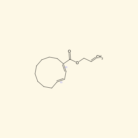 C=CCOC(=O)/C1=C/C=C/CCCCCCCC1